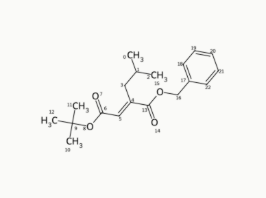 CC(C)C/C(=C\C(=O)OC(C)(C)C)C(=O)OCc1ccccc1